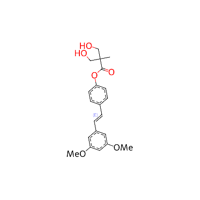 COc1cc(/C=C/c2ccc(OC(=O)C(C)(CO)CO)cc2)cc(OC)c1